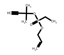 C#CC(C)(C)OP(=O)(CC)OCC=C